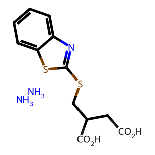 N.N.O=C(O)CC(CSc1nc2ccccc2s1)C(=O)O